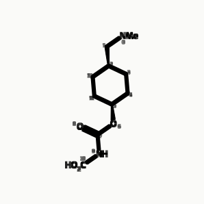 CNC[C@H]1CC[C@@H](OC(=O)NC(=O)O)CC1